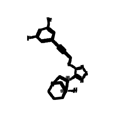 Fc1cc(Br)cc(C#CCSc2nsnc2[C@H]2CN3CCC[C@H]2C3)c1